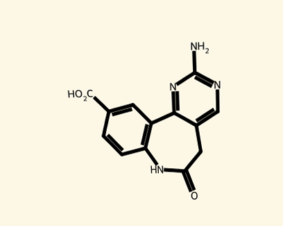 Nc1ncc2c(n1)-c1cc(C(=O)O)ccc1NC(=O)C2